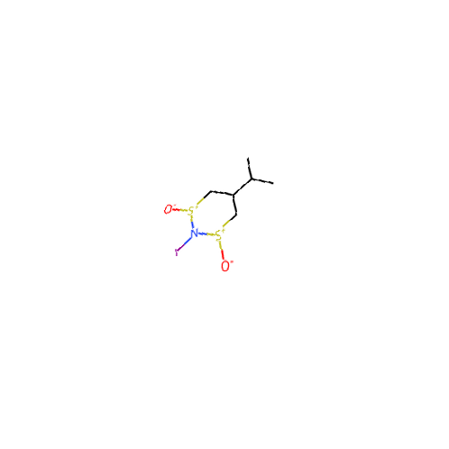 CC(C)C1C[S+]([O-])N(I)[S+]([O-])C1